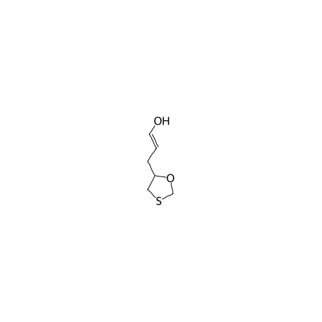 OC=CCC1CSCO1